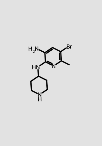 Cc1nc(NC2CCNCC2)c(N)cc1Br